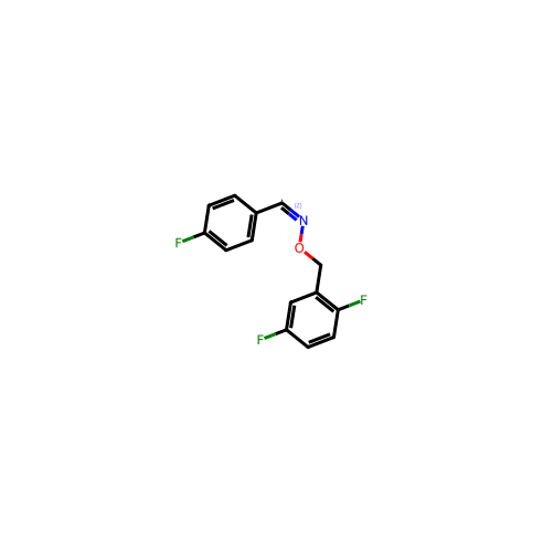 Fc1ccc(/[C]=N\OCc2cc(F)ccc2F)cc1